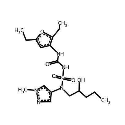 CCCC(O)CN(c1cnn(C)c1)S(=O)(=O)NC(=O)Nc1cc(CC)oc1CC